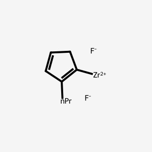 CCCC1=[C]([Zr+2])CC=C1.[F-].[F-]